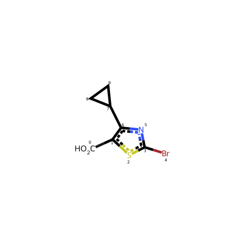 O=C(O)c1sc(Br)nc1C1CC1